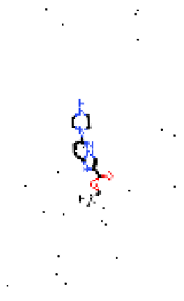 CCOC(=O)c1cn2nc(N3CCNCC3)ccc2n1